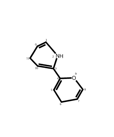 C1=CNC(C2=CCC=CO2)=CC1